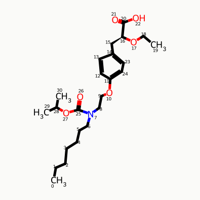 CCCCCCCN(CCOc1ccc(C[C@H](OCC)C(=O)O)cc1)C(=O)OC(C)C